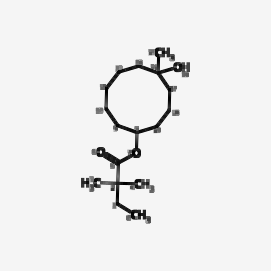 CCC(C)(C)C(=O)OC1CCCCCC(C)(O)CCC1